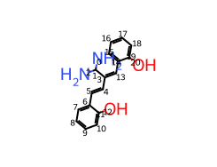 NC(N)C(C=Cc1ccccc1O)=Cc1ccccc1O